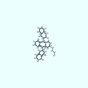 CCCCc1ccc2c(-c3ccc4ccccc4c3)c3ccccc3c(-c3ccc4ccccc4c3)c2c1